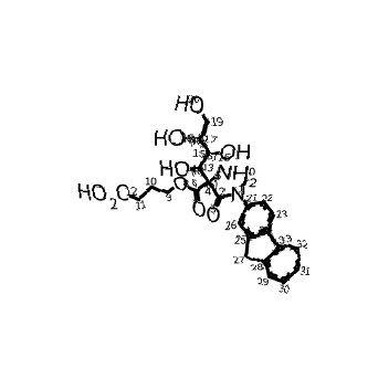 CN(C(=O)[C@](N)(C(=O)OCCCC(=O)O)[C@@H](O)[C@H](O)[C@H](O)CO)c1ccc2c(c1)Cc1ccccc1-2